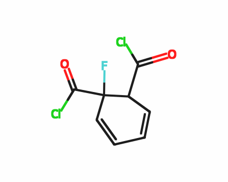 O=C(Cl)C1C=CC=CC1(F)C(=O)Cl